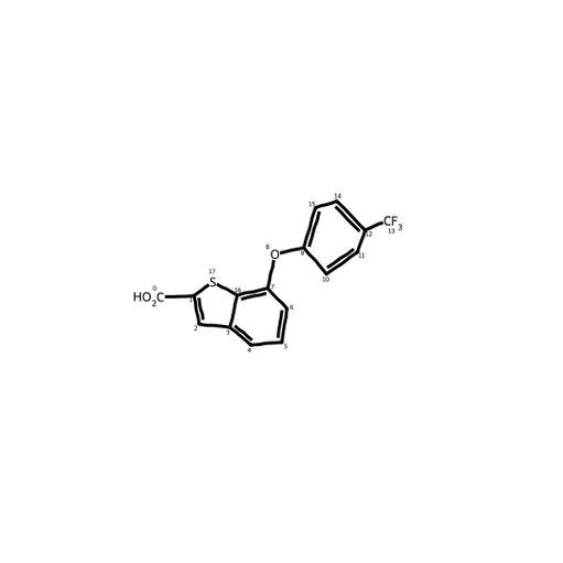 O=C(O)c1cc2cccc(Oc3ccc(C(F)(F)F)cc3)c2s1